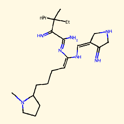 CCCC(C)(CC)C(=N)/C(N)=N/C(=C\CCCC1CCCN1C)N/C=C1/CNCC1=N